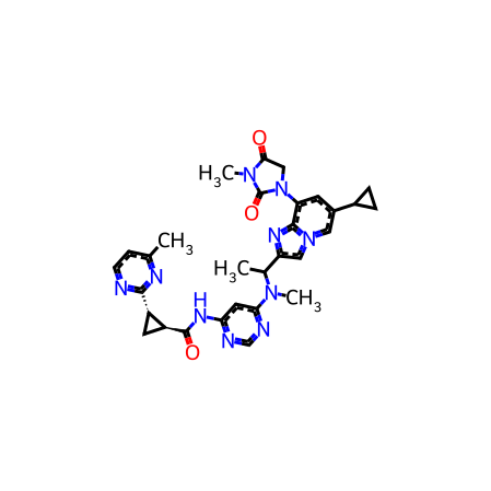 Cc1ccnc([C@H]2C[C@@H]2C(=O)Nc2cc(N(C)C(C)c3cn4cc(C5CC5)cc(N5CC(=O)N(C)C5=O)c4n3)ncn2)n1